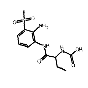 CCC(NC(=O)O)C(=O)Nc1cccc(S(C)(=O)=O)c1N